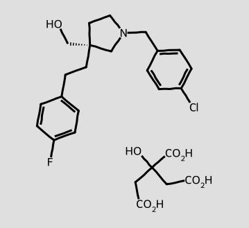 O=C(O)CC(O)(CC(=O)O)C(=O)O.OC[C@]1(CCc2ccc(F)cc2)CCN(Cc2ccc(Cl)cc2)C1